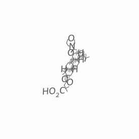 C=C(C)[C@@H]1CC[C@]2(CC(=O)N3CCCOCC3)CC[C@]3(C)[C@H](CC[C@@H]4[C@@]5(C)CC[C@H](OC(=O)CC(C)(C)C(=O)O)C(C)(C)[C@@H]5CC[C@]43C)[C@@H]12